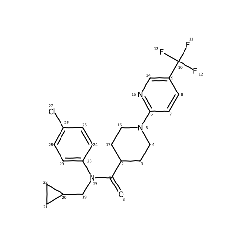 O=C(C1CCN(c2ccc(C(F)(F)F)cn2)CC1)N(CC1CC1)c1ccc(Cl)cc1